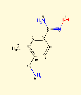 Cc1cc(/C(N)=N/O)ccc1CN